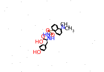 CN(C)c1cccc2c(S(=O)(=O)NN[C@@H](Cc3ccc(O)cc3)C(=O)O)cccc12